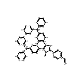 Cn1c(-c2ccc(C=O)cc2)nc2c3ccc(N(c4ccccc4)c4ccccc4)cc3c3cc(N(c4ccccc4)c4ccccc4)ccc3c21